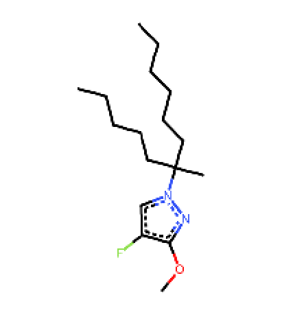 CCCCCCC(C)(CCCCC)n1cc(F)c(OC)n1